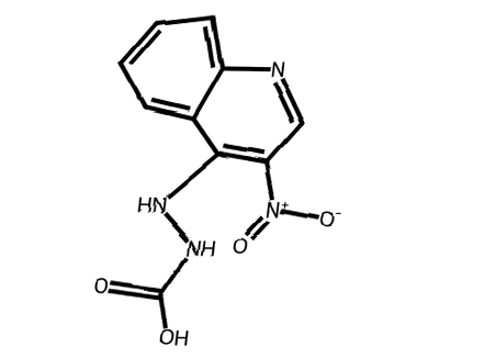 O=C(O)NNc1c([N+](=O)[O-])cnc2ccccc12